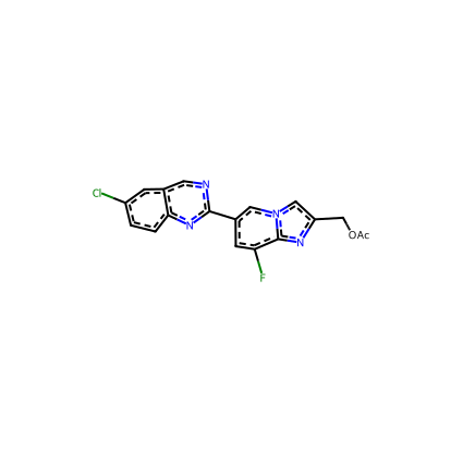 CC(=O)OCc1cn2cc(-c3ncc4cc(Cl)ccc4n3)cc(F)c2n1